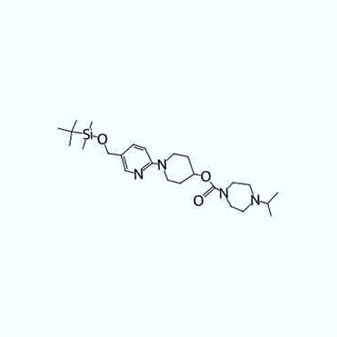 CC(C)N1CCN(C(=O)OC2CCN(c3ccc(CO[Si](C)(C)C(C)(C)C)cn3)CC2)CC1